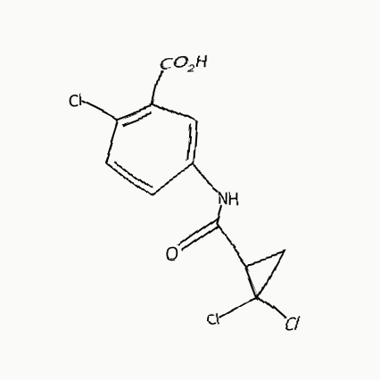 O=C(O)c1cc(NC(=O)C2CC2(Cl)Cl)ccc1Cl